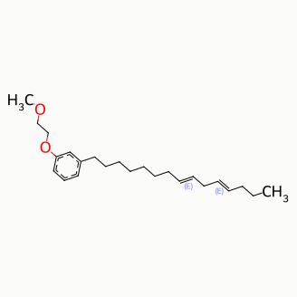 CCC/C=C/C/C=C/CCCCCCCc1cccc(OCCOC)c1